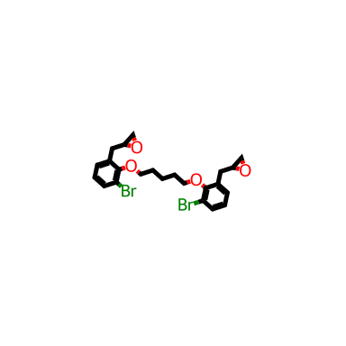 Brc1cccc(CC2CO2)c1OCCCCCOc1c(Br)cccc1CC1CO1